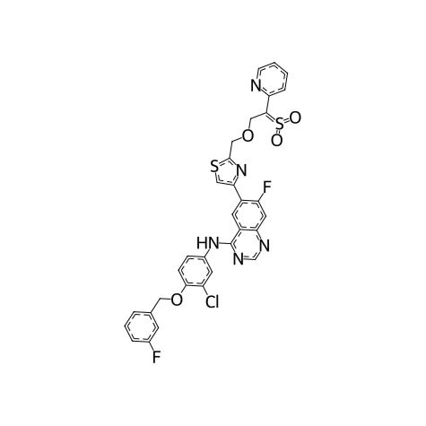 O=S(=O)=C(COCc1nc(-c2cc3c(Nc4ccc(OCc5cccc(F)c5)c(Cl)c4)ncnc3cc2F)cs1)c1ccccn1